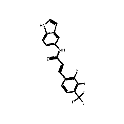 O=C(C=Cc1ccc(C(F)(F)F)c(F)c1F)Nc1ccc2[nH]ccc2c1